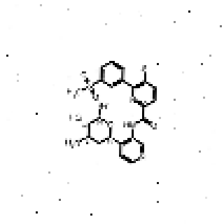 CC(C)[C@H]1O[C@@H](c2ccncc2NC(=O)c2ccc(F)c(-c3cccc(S(C)(=O)=O)c3)n2)C[C@@H](N)[C@@H]1O